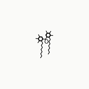 CCCCCCCCc1c(C(=O)c2cc(C)c(C)c(C)c2CCCCCCCC)cc(C)c(C)c1C